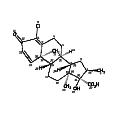 C[C@@H]1C[C@H]2[C@@H]3CCC4=C(Cl)C(=O)C=C[C@]4(C)[C@H]3CC[C@]2(C)[C@@]1(O)C(=O)O